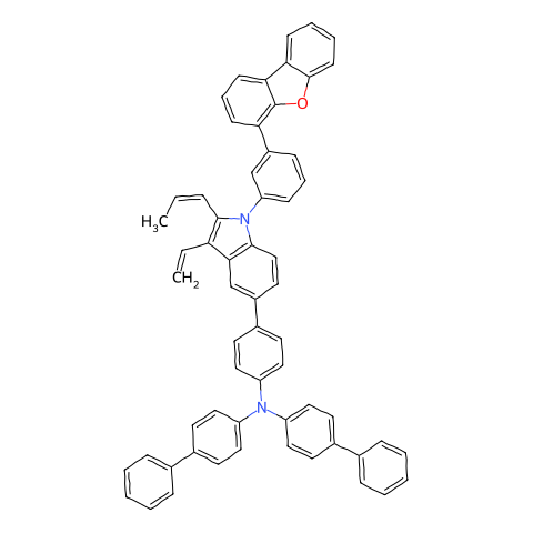 C=Cc1c(/C=C\C)n(-c2cccc(-c3cccc4c3oc3ccccc34)c2)c2ccc(-c3ccc(N(c4ccc(-c5ccccc5)cc4)c4ccc(-c5ccccc5)cc4)cc3)cc12